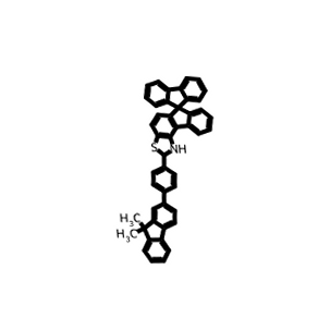 CC1(C)c2ccccc2-c2ccc(-c3ccc(C4Nc5c(ccc6c5-c5ccccc5C65c6ccccc6-c6ccccc65)S4)cc3)cc21